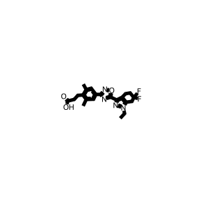 CCn1nc(-c2nc(-c3cc(C)c(CCC(=O)O)c(C)c3)no2)c2c1CC(F)(F)CC2